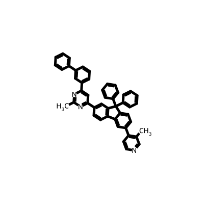 Cc1nc(-c2cccc(-c3ccccc3)c2)cc(-c2ccc3c(c2)C(c2ccccc2)(c2ccccc2)c2ccc(-c4ccncc4C)cc2-3)n1